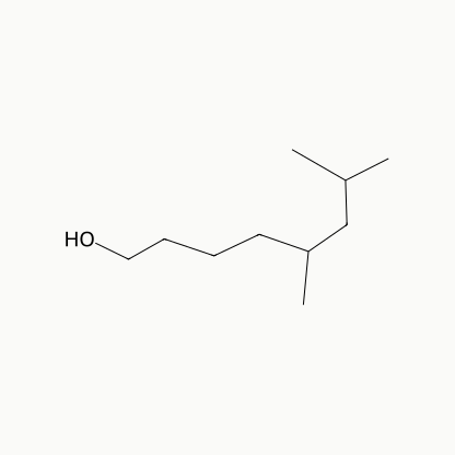 CC(C)CC(C)CCCCO